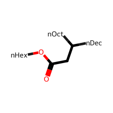 CCCCCCCCCCC(CCCCCCCC)CC(=O)OCCCCCC